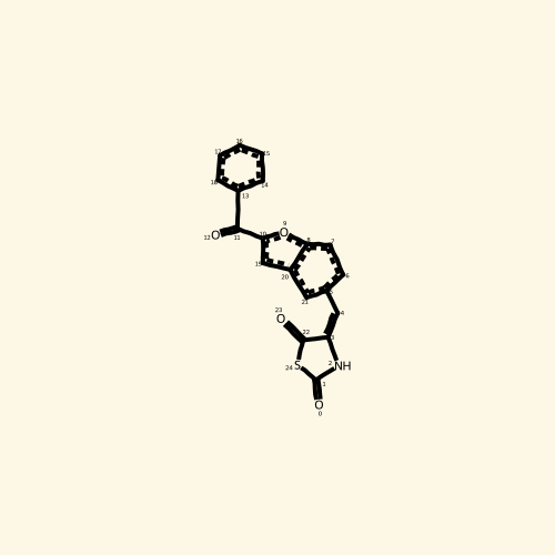 O=C1NC(=Cc2ccc3oc(C(=O)c4ccccc4)cc3c2)C(=O)S1